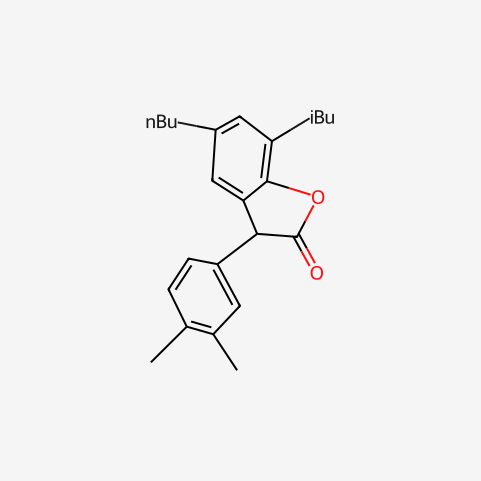 CCCCc1cc(C(C)CC)c2c(c1)C(c1ccc(C)c(C)c1)C(=O)O2